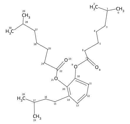 CC(C)CCCCC(=O)Oc1cccc(CCC(C)C)c1OC(=O)CCCCC(C)C